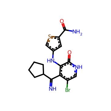 N=C(c1c(Br)c[nH]c(=O)c1Nc1csc(C(N)=O)c1)C1CCCC1